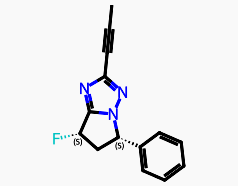 CC#Cc1nc2n(n1)[C@H](c1ccccc1)C[C@@H]2F